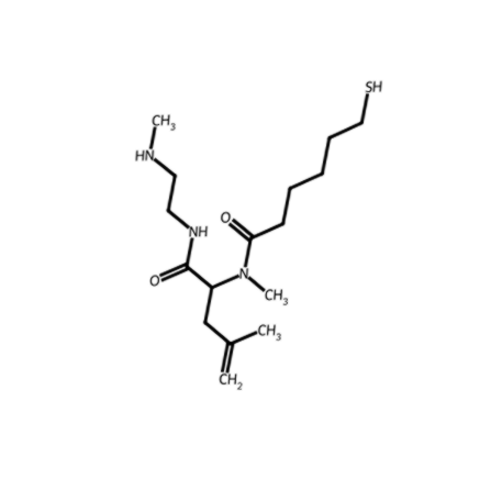 C=C(C)CC(C(=O)NCCNC)N(C)C(=O)CCCCCS